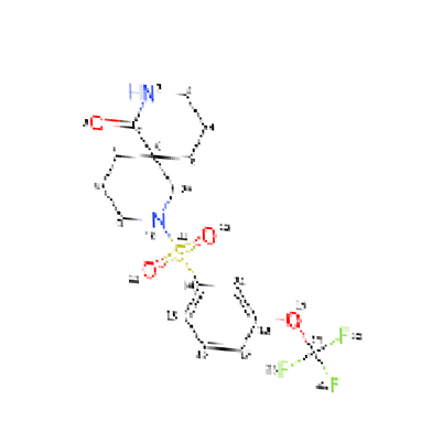 O=C1NCCCC12CCCN(S(=O)(=O)c1cccc(OC(F)(F)F)c1)C2